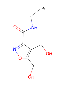 CC(C)CNC(=O)c1noc(CO)c1CO